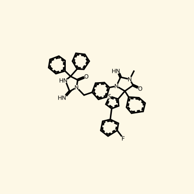 CN1C(=N)N(c2ccc(CN3C(=N)NC(c4ccccc4)(c4ccccc4)C3=O)cc2)C(c2ccccc2)(c2cc(-c3cccc(F)c3)cs2)C1=O